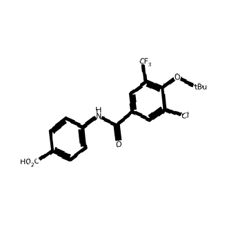 CC(C)(C)Oc1c(Cl)cc(C(=O)Nc2ccc(C(=O)O)cc2)cc1C(F)(F)F